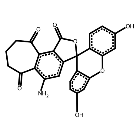 Nc1cc2c(c3c1C(=O)CCCC3=O)C(=O)OC21c2ccc(O)cc2Oc2cc(O)ccc21